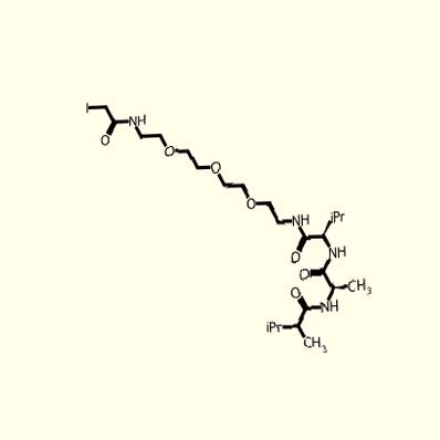 CC(C)C(C)C(=O)N[C@H](C)C(=O)N[C@@H](C(=O)NCCOCCOCCOCCNC(=O)CI)C(C)C